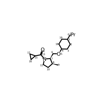 CC(C)C1CCC(OC[C@H]2[C@@H](C)CCN2C(=O)C2CC2)CC1